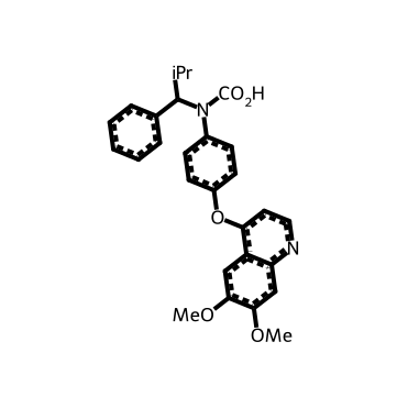 COc1cc2nccc(Oc3ccc(N(C(=O)O)C(c4ccccc4)C(C)C)cc3)c2cc1OC